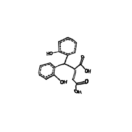 O=C(O)C=C(C(=O)O)C(c1ccccc1O)c1ccccc1O